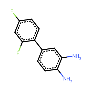 Nc1ccc(-c2ccc(F)cc2F)cc1N